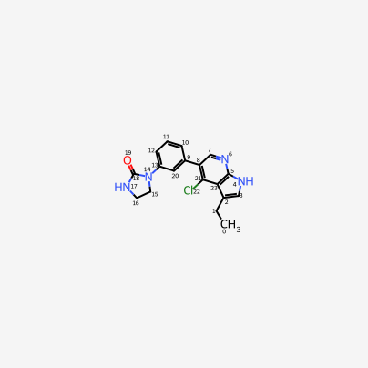 CCc1c[nH]c2ncc(-c3cccc(N4CCNC4=O)c3)c(Cl)c12